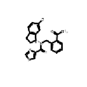 NC(=O)c1ccccc1CN(C(=O)c1cscn1)[C@@H]1CCc2ccc(Cl)cc21